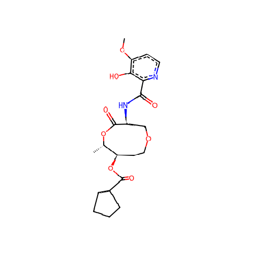 COc1ccnc(C(=O)N[C@H]2COCC[C@@H](OC(=O)C3CCCC3)[C@H](C)OC2=O)c1O